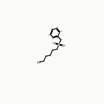 O=S(=O)(CCCCCCl)Cc1ccccc1